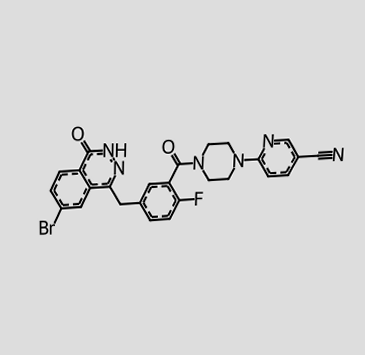 N#Cc1ccc(N2CCN(C(=O)c3cc(Cc4n[nH]c(=O)c5ccc(Br)cc45)ccc3F)CC2)nc1